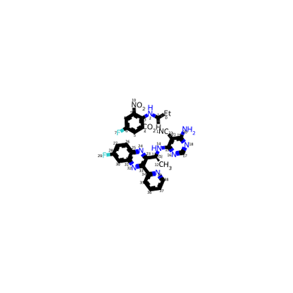 CCC(Nc1ccc(F)cc1[N+](=O)[O-])C(=O)O.C[C@H](Nc1ncnc(N)c1C#N)c1nc2ccc(F)cc2nc1-c1ccccn1